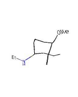 CCNC1CC(OC)C1(C)C